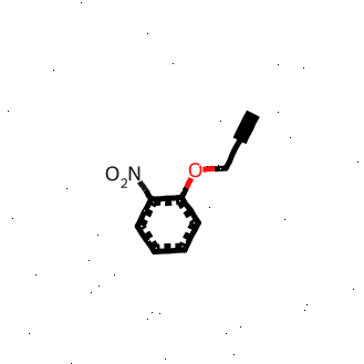 C#CCOc1ccccc1[N+](=O)[O-]